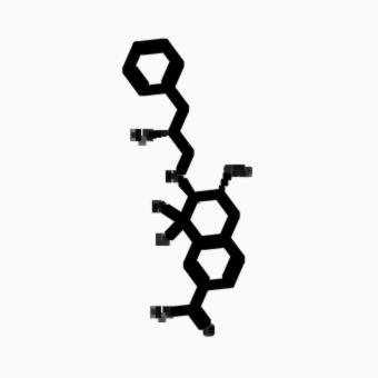 CCC1(CC)c2cc(C(N)=O)ccc2C[C@@H](OC)[C@@H]1NC[C@H](N)Cc1ccccc1